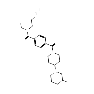 CCN(CCOC)C(=O)c1ccc(C(=O)N2CCC(N3CCCC(C)C3)CC2)cc1